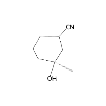 C[C@]1(O)CCCC(C#N)C1